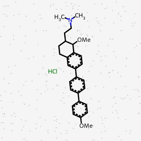 COc1ccc(-c2ccc(-c3ccc4c(c3)CCC(CCN(C)C)C4OC)cc2)cc1.Cl